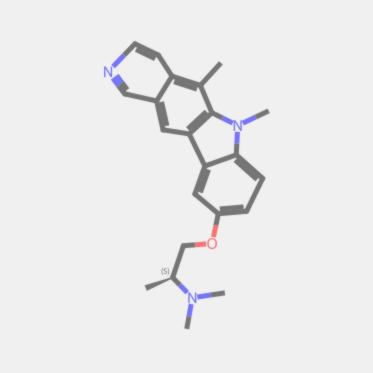 Cc1c2ccncc2cc2c3cc(OC[C@H](C)N(C)C)ccc3n(C)c12